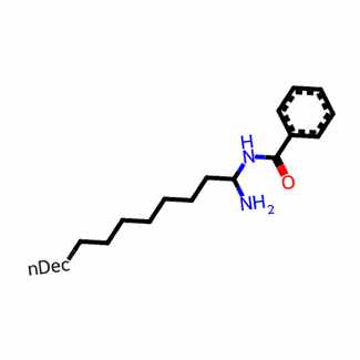 CCCCCCCCCCCCCCCCCC(N)NC(=O)c1ccccc1